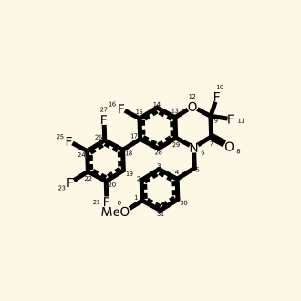 COc1ccc(CN2C(=O)C(F)(F)Oc3cc(F)c(-c4cc(F)c(F)c(F)c4F)cc32)cc1